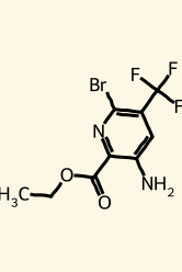 CCOC(=O)c1nc(Br)c(C(F)(F)F)cc1N